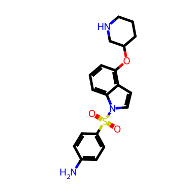 Nc1ccc(S(=O)(=O)n2ccc3c(OC4CCCNC4)cccc32)cc1